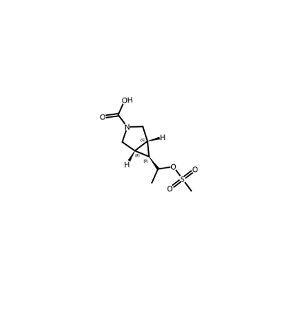 CC(OS(C)(=O)=O)[C@H]1[C@@H]2CN(C(=O)O)C[C@@H]21